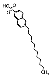 CCCCCCCCCCCCc1ccc2cc(S(=O)(=O)O)ccc2c1